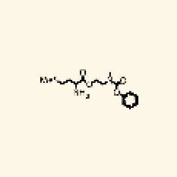 CSCCC(N)C(=O)OCCN(C)C(=O)Oc1ccccc1